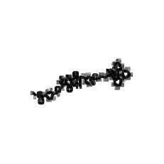 CCOC(=O)c1ccc(COCc2csc3nc(C(=O)NCc4ccnc(OCCCc5ncn(C(c6ccccc6)(c6ccccc6)c6ccccc6)n5)c4)[nH]c(=O)c23)cc1